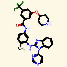 Cc1ccc(NC(=O)c2cc(OC3CCNCC3)cc(C(F)(F)F)c2)cc1Nc1nc2ccccc2n1-c1ccncn1